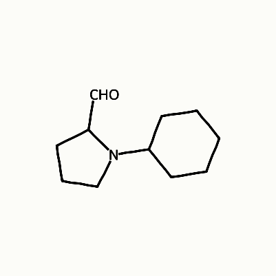 O=CC1CCCN1C1CCCCC1